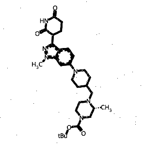 C[C@@H]1CN(C(=O)OC(C)(C)C)CCN1CC1CCN(c2ccc3c(C4CCC(=O)NC4=O)nn(C)c3c2)CC1